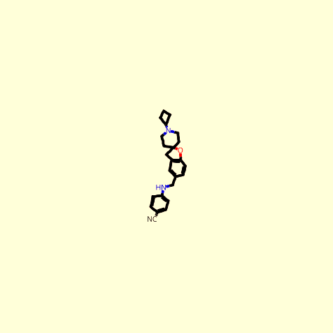 N#Cc1ccc(NCc2ccc3c(c2)CC2(CCN(C4CCC4)CC2)O3)cc1